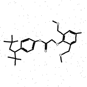 COCc1cc(C)cc(COC)c1OCC(=O)Oc1ccc(C(CC(C)(C)C)C(C)(C)C)cc1